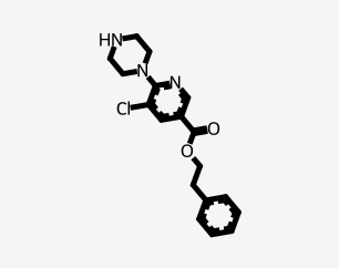 O=C(OCCc1ccccc1)c1cnc(N2CCNCC2)c(Cl)c1